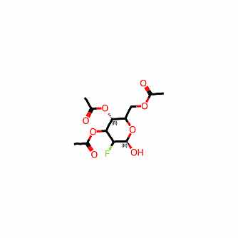 CC(=O)OCC1O[C@@H](O)C(F)C(OC(C)=O)[C@@H]1OC(C)=O